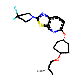 CC(=O)N[C@@H](C)CO[C@H]1CC[C@H](Oc2ccc3nc(N4CC(F)(F)C4)sc3n2)CC1